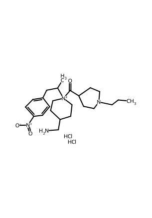 CCCN1CCC(C(=O)[N+]2(C(C)Cc3ccc([N+](=O)[O-])cc3)CCC(CN)CC2)CC1.Cl.Cl